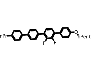 CCCCCOc1ccc(-c2ccc(-c3ccc(-c4ccc(CCC)cc4)cc3)c(F)c2F)cc1